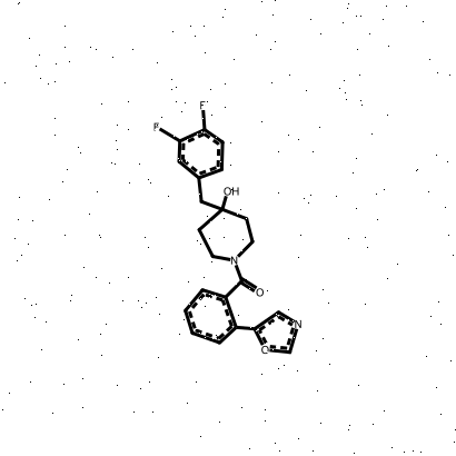 O=C(c1ccccc1-c1cnco1)N1CCC(O)(Cc2ccc(F)c(F)c2)CC1